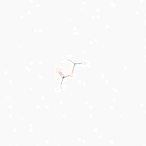 CCCCC(OC(=O)C(C)C)C(C)(C)C